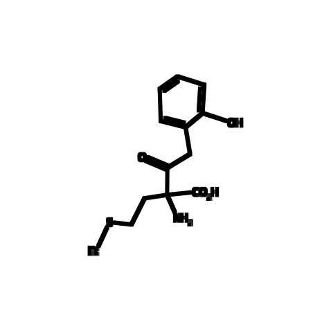 CCSCCC(N)(C(=O)O)C(=O)Cc1ccccc1O